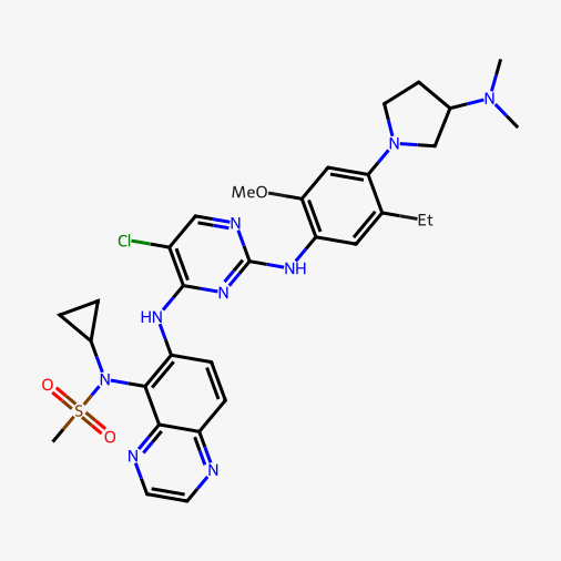 CCc1cc(Nc2ncc(Cl)c(Nc3ccc4nccnc4c3N(C3CC3)S(C)(=O)=O)n2)c(OC)cc1N1CCC(N(C)C)C1